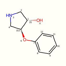 O[C@H]1CNC[C@@H]1Oc1ccccc1